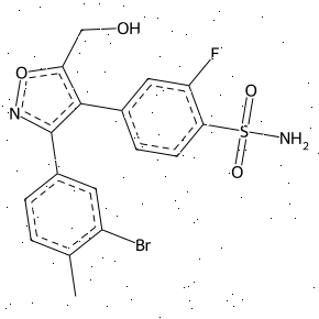 Cc1ccc(-c2noc(CO)c2-c2ccc(S(N)(=O)=O)c(F)c2)cc1Br